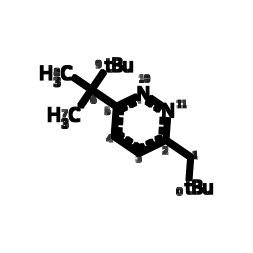 CC(C)(C)Cc1ccc(C(C)(C)C(C)(C)C)nn1